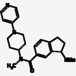 CNC1CCc2ccc(C(=O)N(C)C3CCN(c4ccncc4)CC3)cc21